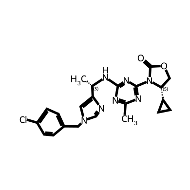 Cc1nc(N[C@@H](C)c2cn(Cc3ccc(Cl)cc3)cn2)nc(N2C(=O)OC[C@@H]2C2CC2)n1